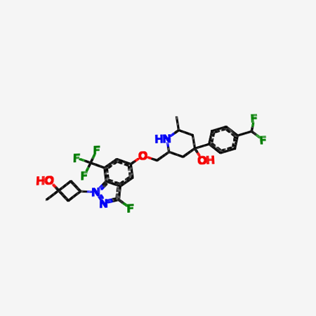 CC1CC(O)(c2ccc(C(F)F)cc2)CC(COc2cc(C(F)(F)F)c3c(c2)c(F)nn3C2CC(C)(O)C2)N1